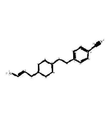 C/C=C/CC1CCC(CCc2ccc(C#N)cc2)CC1